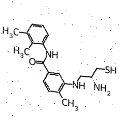 Cc1ccc(C(=O)Nc2cccc(C)c2C)cc1NC[C@@H](N)CS